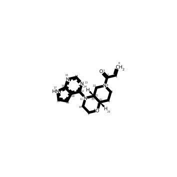 C=CC(=O)N1CC[C@@H]2OCCN(c3ncnc4[nH]ccc34)[C@@H]2C1